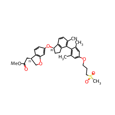 COC(=O)C[C@@H]1COc2cc(O[C@@H]3CCc4c3ccc(C#N)c4-c3c(C)cc(OCCCS(C)(=O)=O)cc3C)ccc21